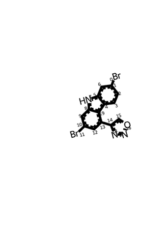 Brc1ccc2c(c1)[nH]c1cc(Br)cc(-c3conn3)c12